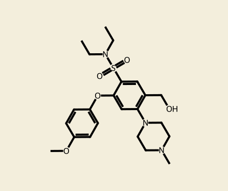 CCN(CC)S(=O)(=O)c1cc(CO)c(N2CCN(C)CC2)cc1Oc1ccc(OC)cc1